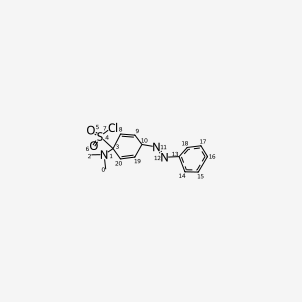 CN(C)C1(S(=O)(=O)Cl)C=CC(/N=N/c2ccccc2)C=C1